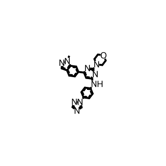 Cn1ncc2ccc(-c3cc(Nc4ccc(-n5cncn5)cc4)nc(N4CCOCC4)n3)cc21